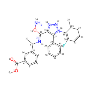 COC(=O)c1cccc(C(C)/N=C(\ON)c2nnn(C3=C(F)C=CCC3C)c2-c2ccccc2)c1